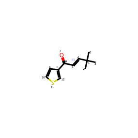 CC(C)(C)/C=C/C(=O)c1ccsc1